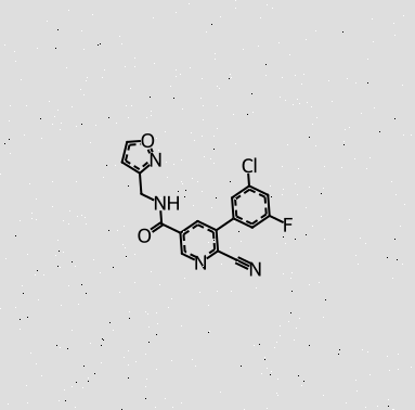 N#Cc1ncc(C(=O)NCc2ccon2)cc1-c1cc(F)cc(Cl)c1